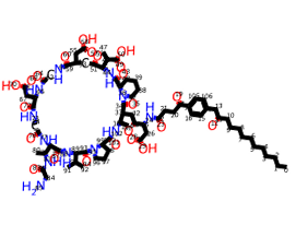 CCCCCCCCCCCC(=O)Cc1ccc(C(=O)CCC(=O)NC(CC(=O)O)C(=O)CC2C(=O)N3CCCCC3C(=O)NC(C(C)C(=O)O)C(=O)CC(CC(=O)O)C(=O)NCC(=O)NC(CC(=O)O)C(=O)NCC(=O)NC(C(C)NC(=O)CN)C(=O)NC(C(C)C)C(=O)N3CCCC3C(=O)NC2C)cc1